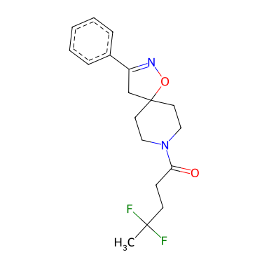 CC(F)(F)CCC(=O)N1CCC2(CC1)CC(c1ccccc1)=NO2